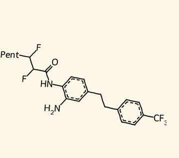 CCCCCC(F)C(F)C(=O)Nc1ccc(CCc2ccc(C(F)(F)F)cc2)cc1N